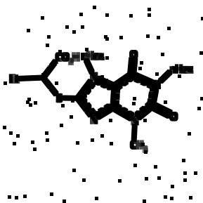 CCCCCCn1c(=O)c2c(nc(SC(CC)C(=O)O)n2CCCCCC)n(C)c1=O